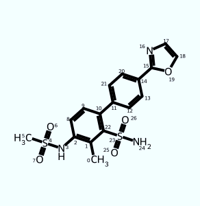 Cc1c(NS(C)(=O)=O)ccc(-c2ccc(-c3ncco3)cc2)c1S(N)(=O)=O